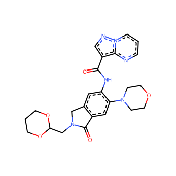 O=C(Nc1cc2c(cc1N1CCOCC1)C(=O)N(CC1OCCCO1)C2)c1cnn2cccnc12